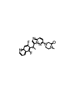 C[C@@H](c1c(F)cc2ncccc2c1F)c1cnc2ccc(N3CCN(C)C(=O)C3)nn12